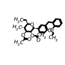 CCOc1ccccc1Cc1cc([C@@H]2O[C@H](CC)[C@@H](C)[C@H](OC(C)=O)[C@H]2OC(C)=O)ccc1Cl